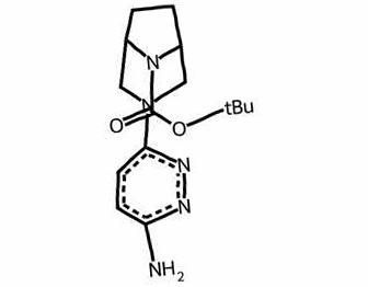 CC(C)(C)OC(=O)N1C2CCC1CN(c1ccc(N)nn1)C2